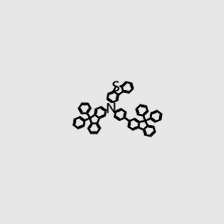 c1ccc(C2(c3ccccc3)c3ccccc3-c3cc(N(c4ccc(-c5ccc6c(c5)C(c5ccccc5)(c5ccccc5)c5ccccc5-6)cc4)c4ccc5sc6ccccc6c5c4)ccc32)cc1